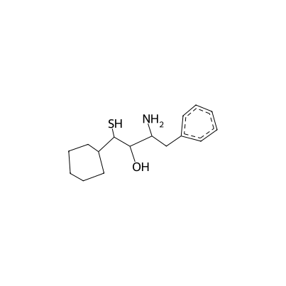 NC(Cc1ccccc1)C(O)C(S)C1CCCCC1